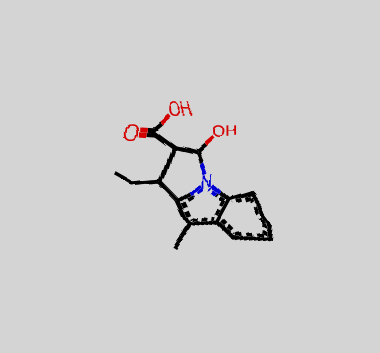 CCC1c2c(C)c3ccccc3n2C(O)C1C(=O)O